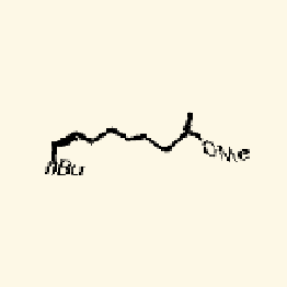 CCCC/C=C\CCCCCC(C)OC